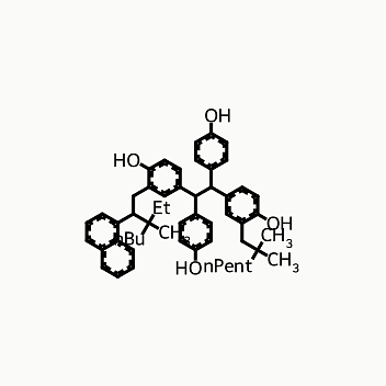 CCCCCC(C)(C)Cc1cc(C(c2ccc(O)cc2)C(c2ccc(O)cc2)c2ccc(O)c(CC(c3cccc4ccccc34)C(C)(CC)CCCC)c2)ccc1O